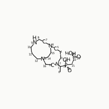 CC(N1CCCN2CCNCCCN(CC2)CC1)P(=O)(O)C[PH](=O)O